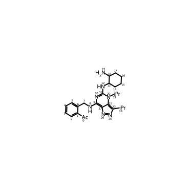 CC(=O)c1ccccc1CNc1nc(NC2CCCCC2N)n(C(C)C)c2c(C(C)C)nnc1-2